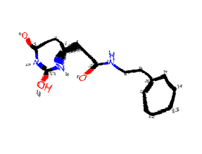 O=C1CC(CC(=O)NCCC2=CCCCC2)=NC(O)=N1